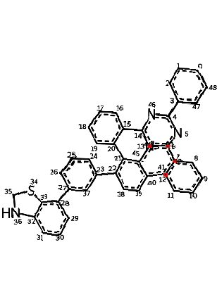 c1ccc(-c2nc(-c3ccccc3)nc(-c3ccccc3-c3c(-c4cccc(-c5cccc6c5SCN6)c4)ccc4ccccc34)n2)cc1